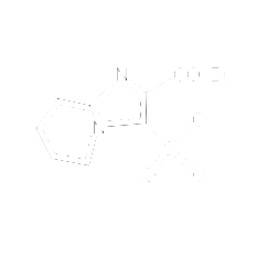 CCOC(=O)c1nc2ccccn2c1S(=O)(=O)Cl